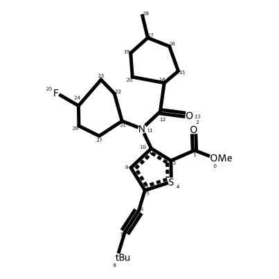 COC(=O)c1sc(C#CC(C)(C)C)cc1N(C(=O)C1CCC(C)CC1)C1CCC(F)CC1